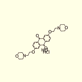 Cl.Cl.O=C1c2ccc(OCCN3CCOCC3)cc2C(=O)c2ccc(OCCN3CCOCC3)cc21